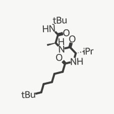 CC(C)[C@H](NC(=O)CCCCCC(C)(C)C)C(=O)N[C@@H](C)C(=O)NC(C)(C)C